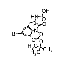 CC(C)(C)OC(=O)ON1C(=O)[C@@H](NC(=O)O)Cc2cc(Br)ccc21